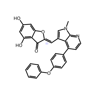 Cn1cc(/C=C2\Oc3cc(O)cc(O)c3C2=O)c2c(-c3ccc(Oc4ccccc4)cc3)ccnc21